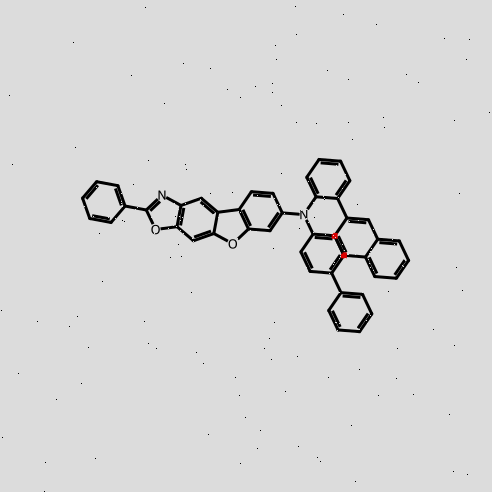 c1ccc(-c2ccc(N(c3ccc4c(c3)oc3cc5oc(-c6ccccc6)nc5cc34)c3ccccc3-c3ccc4ccccc4c3)cc2)cc1